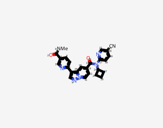 CNC(=O)c1ccc(-c2cnn3ccc(C(=O)N(c4ccc(C#N)cn4)C4CCC4)cc23)nc1